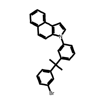 CC(C)(c1cccc(Br)c1)c1cccc(-n2ccc3c4ccccc4ccc32)c1